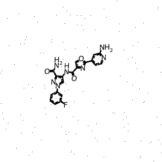 NC(=O)c1nn(-c2cccc(F)c2)cc1NC(=O)c1coc(-c2ccnc(N)c2)n1